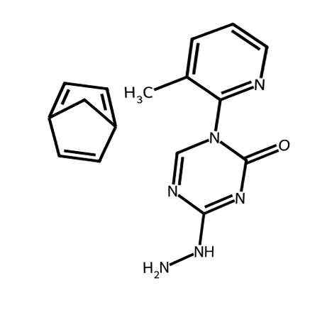 C1=CC2=CC=C1C2.Cc1cccnc1-n1cnc(NN)nc1=O